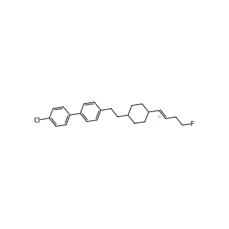 FCC/C=C/C1CCC(CCc2ccc(-c3ccc(Cl)cc3)cc2)CC1